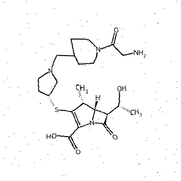 C[C@@H](O)[C@H]1C(=O)N2C(C(=O)O)=C(S[C@@H]3CCN(CC4CCN(C(=O)CN)CC4)C3)[C@H](C)[C@H]12